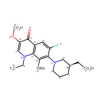 CCOC(=O)C[C@H]1CCCN(c2c(F)cc3c(=O)c(OC(=O)O)cn(CC(F)(F)F)c3c2OC)C1